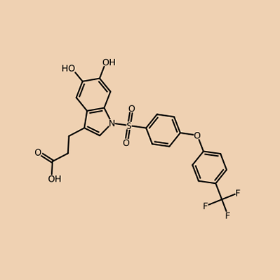 O=C(O)CCc1cn(S(=O)(=O)c2ccc(Oc3ccc(C(F)(F)F)cc3)cc2)c2cc(O)c(O)cc12